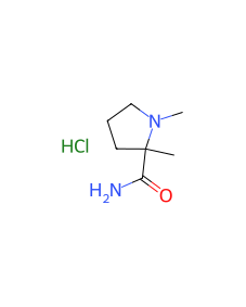 CN1CCCC1(C)C(N)=O.Cl